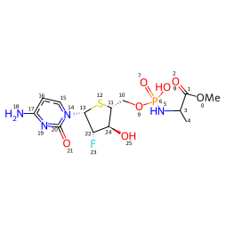 COC(=O)C(C)NP(=O)(O)OC[C@H]1S[C@@H](n2ccc(N)nc2=O)[C@@H](F)[C@@H]1O